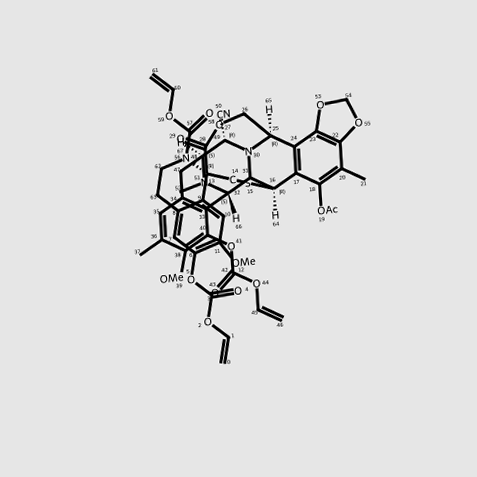 C=COC(=O)Oc1cc2c(cc1OC)[C@@]1(CS[C@@H]3c4c(OC(C)=O)c(C)c5c(c4[C@H](COC1=O)N1C3[C@@H]3c4c(cc(C)c(OC)c4OC(=O)OC=C)C[C@@H]([C@@H]1C#N)N3C)OCO5)N(C(=O)OC=C)CC2